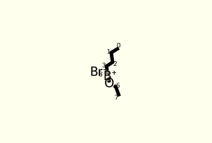 CCCC[B+]OCC.[Br-]